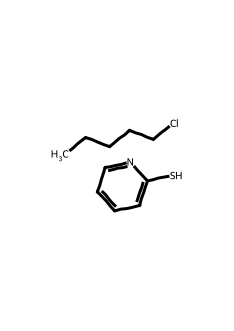 CCCCCCl.Sc1ccccn1